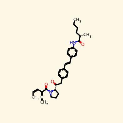 C=C=C(/C=C\C)C(=O)N1CCC[C@H]1C(=O)Cc1ccc(/C=C/c2ccc(NC(=O)[C@@H](C)CCCC)cc2)cc1